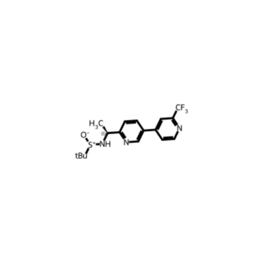 C[C@H](N[S+]([O-])C(C)(C)C)c1ccc(-c2ccnc(C(F)(F)F)c2)cn1